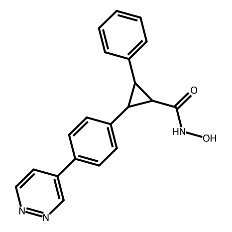 O=C(NO)C1C(c2ccccc2)C1c1ccc(-c2ccnnc2)cc1